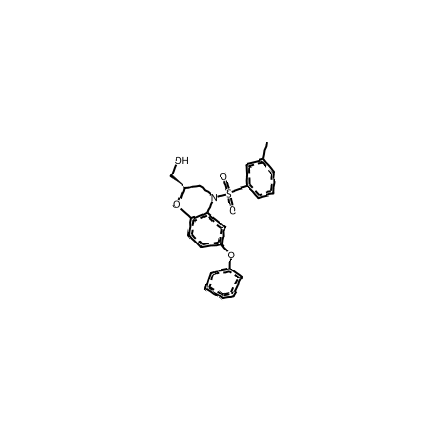 Cc1cccc(S(=O)(=O)N2C[C@H](CO)Oc3ccc(Oc4ccccc4)cc32)c1